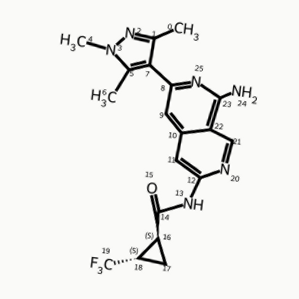 Cc1nn(C)c(C)c1-c1cc2cc(NC(=O)[C@H]3C[C@@H]3C(F)(F)F)ncc2c(N)n1